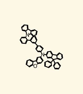 c1ccc(C2(c3ccccc3)c3ccccc3-c3ccc(N(c4ccc(-c5cccc(-c6ccccc6-n6c7ccccc7c7ccccc76)c5)cc4)c4ccc5oc6ccccc6c5c4)cc32)cc1